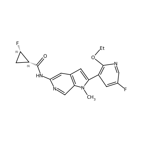 CCOc1ncc(F)cc1-c1cc2cc(NC(=O)[C@@H]3C[C@@H]3F)ncc2n1C